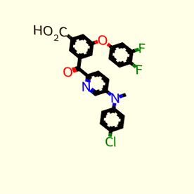 CN(c1ccc(Cl)cc1)c1ccc(C(=O)c2cc(Oc3ccc(F)c(F)c3)cc(C(=O)O)c2)nc1